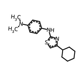 CN(C)c1ccc(Nc2nc(C3CCCCC3)cs2)cc1